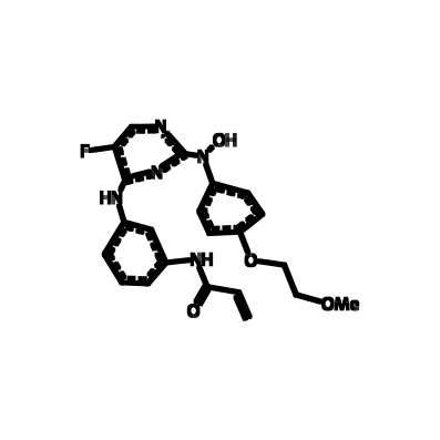 C=CC(=O)Nc1cccc(Nc2nc(N(O)c3ccc(OCCOC)cc3)ncc2F)c1